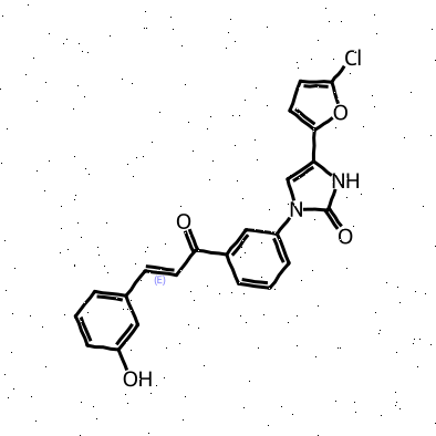 O=C(/C=C/c1cccc(O)c1)c1cccc(-n2cc(-c3ccc(Cl)o3)[nH]c2=O)c1